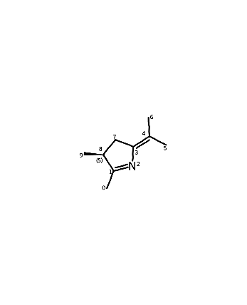 CC1=NC(=C(C)C)C[C@@H]1C